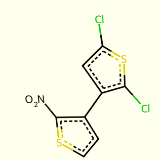 O=[N+]([O-])c1sccc1-c1cc(Cl)sc1Cl